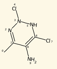 CC1=NN(Cl)NC(Cl)=C1N